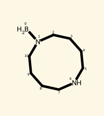 BN1CCCCNCCCC1